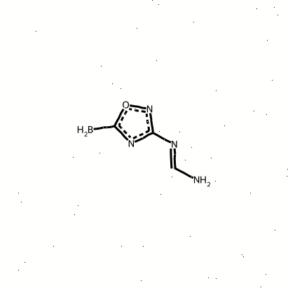 Bc1nc(/N=C/N)no1